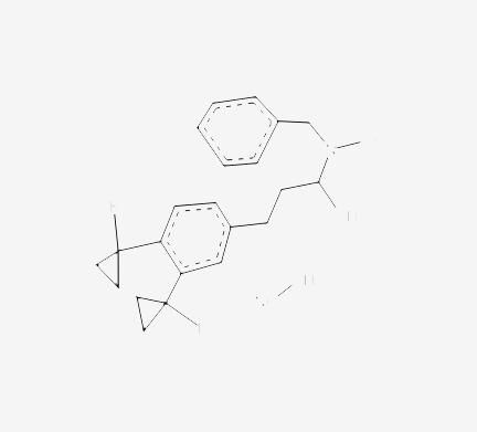 CC#N.CC(C)N(Cc1ccccc1)C(C)CCc1ccc(C2(F)CC2)c(C2(F)CC2)c1